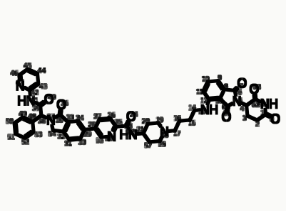 O=C1CCC(N2C(=O)c3cccc(NCCCCN4CCC(NC(=O)c5ccc(-c6ccc7c(c6)C(=O)N(C(C(=O)Nc6ccccn6)c6ccccc6)C7)cn5)CC4)c3C2=O)C(=O)N1